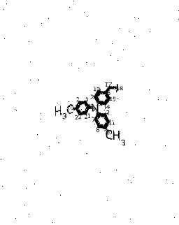 Cc1ccc(N(c2ccc(C)cc2)c2ccc(CI)cc2)cc1